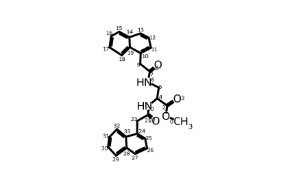 COC(=O)C(CNC(=O)Cc1cccc2ccccc12)NC(=O)Cc1cccc2ccccc12